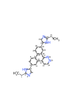 CCc1ncc(-c2ccc3c(c2)c2ccnnc2c2cc(-c4cnc(CC)[nH]4)ccc32)[nH]1